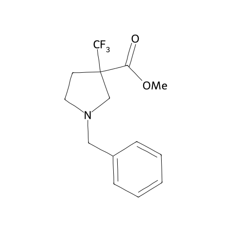 COC(=O)C1(C(F)(F)F)CCN(Cc2ccccc2)C1